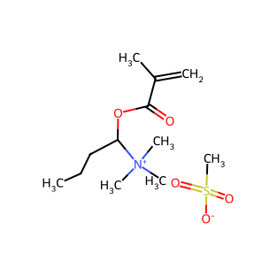 C=C(C)C(=O)OC(CCC)[N+](C)(C)C.CS(=O)(=O)[O-]